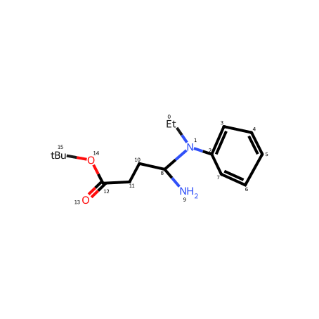 CCN(c1ccccc1)C(N)CCC(=O)OC(C)(C)C